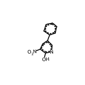 O=[N+]([O-])c1cc(-c2ccccc2)cnc1O